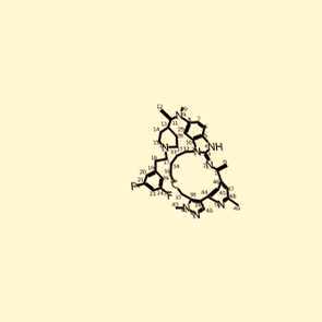 C=C1/N=C2\Nc3ccc(N(C)C(=C)C4CCN(CCc5cc(F)cc(F)c5)CC4)cc3N2CCCCCCc2c(cnn2C)-c2cc1cc(C)n2